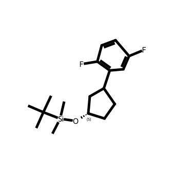 CC(C)(C)[Si](C)(C)O[C@H]1CCC(c2cc(F)ccc2F)C1